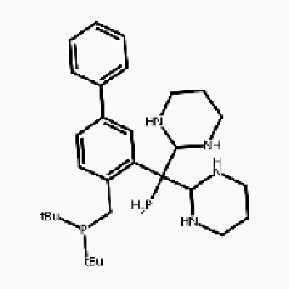 CC(C)(C)P(Cc1ccc(-c2ccccc2)cc1C(P)(C1NCCCN1)C1NCCCN1)C(C)(C)C